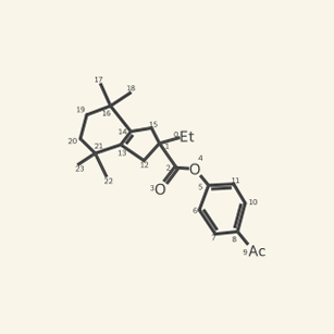 CCC1(C(=O)Oc2ccc(C(C)=O)cc2)CC2=C(C1)C(C)(C)CCC2(C)C